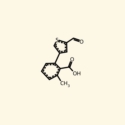 Cc1cccc(-c2csc(C=O)c2)c1C(=O)O